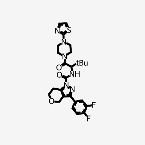 CC(C)(C)C(NC(=O)n1nc(-c2ccc(F)c(F)c2)c2c1CCOC2)C(=O)N1CCN(c2nccs2)CC1